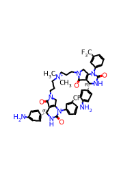 C[N+](C)(CCCN1CC2=C(C1=O)[C@@H](c1ccc(N)cc1)NC(=O)N2c1cccc(C(F)(F)F)c1)CCCN1CC2=C(C1=O)[C@@H](c1ccc(N)cc1)NC(=O)N2c1cccc(C(F)(F)F)c1